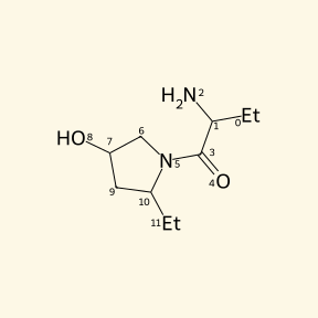 CCC(N)C(=O)N1CC(O)CC1CC